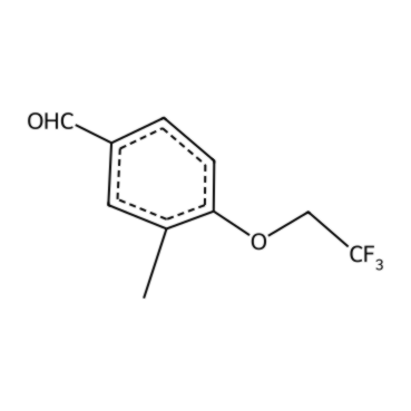 Cc1cc(C=O)ccc1OCC(F)(F)F